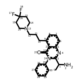 CC(N)c1nc2cccc(CCCN3CCC(F)(F)CC3)c2c(=O)n1-c1ccccc1